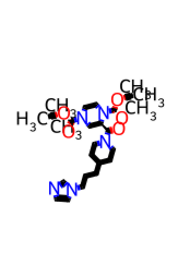 CC(C)(C)OC(=O)N1CCN(C(=O)OC(C)(C)C)[C@@H](C(=O)N2CCC(CCCn3ccnc3)CC2)C1